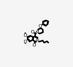 CCCCCn1cc(C(=O)N2CCCC(Oc3ccccc3)C2)c2cc(OC)c(OC)cc2c1=O